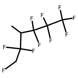 CC(C(F)(F)CF)C(F)(F)C(F)(F)C(F)(F)F